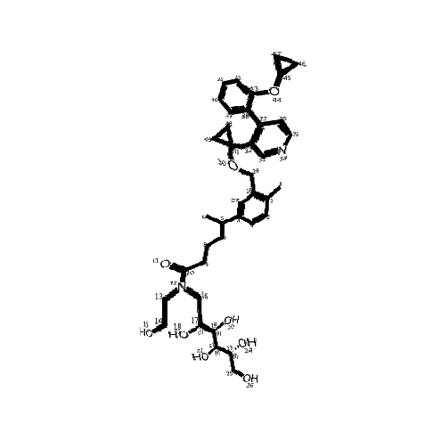 Cc1ccc(C(C)CCCC(=O)N(CCO)C[C@H](O)[C@@H](O)[C@H](O)[C@H](O)CO)cc1COC1(c2cnccc2-c2ccccc2OC2CC2)CC1